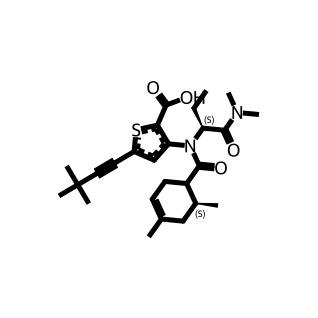 CC[C@@H](C(=O)N(C)C)N(C(=O)C1CC=C(C)C[C@@H]1C)c1cc(C#CC(C)(C)C)sc1C(=O)O